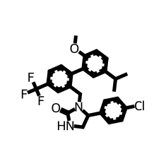 COc1ccc(C(C)C)cc1-c1ccc(C(F)(F)F)cc1CN1C(=O)NCC1c1ccc(Cl)cc1